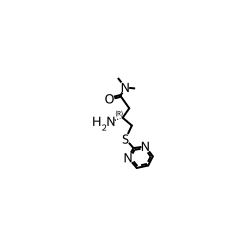 CN(C)C(=O)C[C@@H](N)CSc1ncccn1